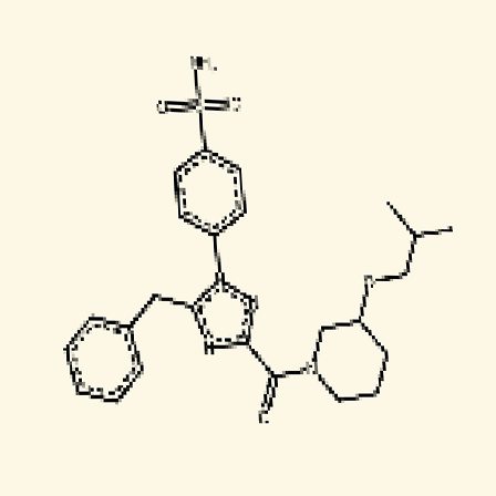 CC(C)COC1CCCN(C(=O)c2nc(Cc3ccccc3)n(-c3ccc(S(N)(=O)=O)cc3)n2)C1